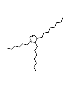 CCCCCCCCN1C=CN(CCCCCC)C1CCCCCCC